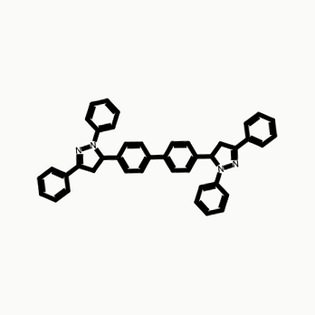 c1ccc(C2=NN(c3ccccc3)C(c3ccc(-c4ccc(C5CC(c6ccccc6)=NN5c5ccccc5)cc4)cc3)C2)cc1